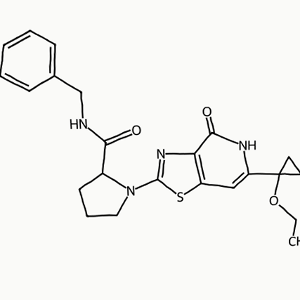 CCOC1(c2cc3sc(N4CCCC4C(=O)NCc4ccccc4)nc3c(=O)[nH]2)CC1